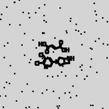 Clc1cc(N2CC3CNC3C2)cnc1Cl.O=C(O)/C=C/C(=O)O